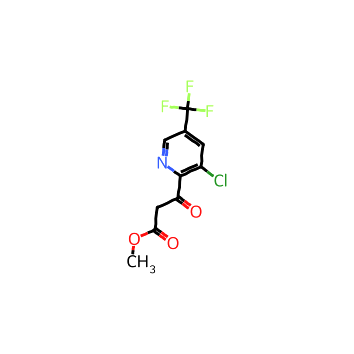 COC(=O)CC(=O)c1ncc(C(F)(F)F)cc1Cl